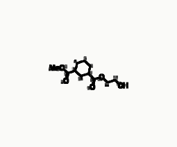 COC(=O)C1CCCC(C(=O)OCCO)C1